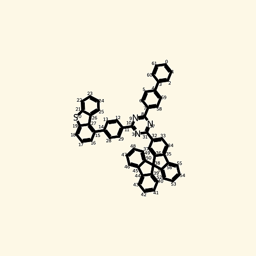 c1ccc(-c2ccc(-c3nc(-c4ccc(-c5cccc6sc7ccccc7c56)cc4)nc(-c4ccc5c(c4)C4(c6ccccc6-c6ccccc64)c4ccccc4-5)n3)cc2)cc1